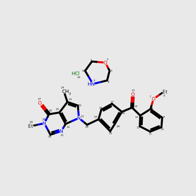 C1COCCN1.CCOc1ccccc1C(=O)c1ccc(Cn2cc(C)c3c(=O)n(CC)cnc32)cc1.Cl